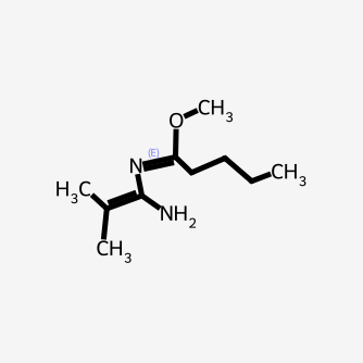 CCCC/C(=N\C(N)=C(C)C)OC